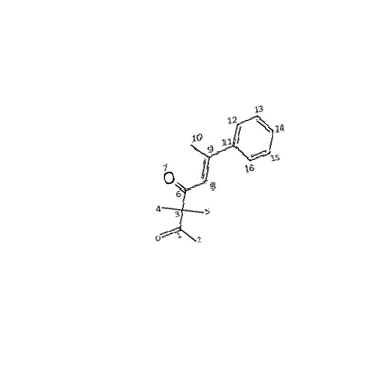 C=C(C)C(C)(C)C(=O)C=C(C)c1ccccc1